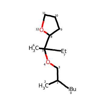 CCC(C)C(C)COC(C)(CC)C1CCCO1